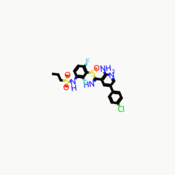 CCCS(=O)(=O)Nc1ccc(F)c([S+]([O-])C(=N)c2cc(-c3ccc(Cl)cc3)cnc2N)c1F